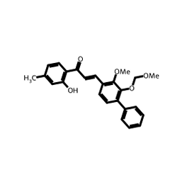 COCOc1c(-c2ccccc2)ccc(/C=C/C(=O)c2ccc(C)cc2O)c1OC